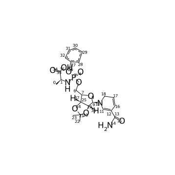 C[C@H](NP(=O)(OCC1O[C@@H](N2C=C(C(N)=O)C=CC2)[C@@H]2OC(C)(C)O[C@H]12)Oc1ccccc1)C(=O)O